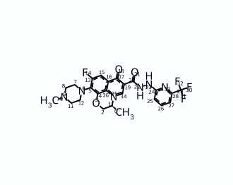 C[C@H]1COc2c(N3CCN(C)CC3)c(F)cc3c(=O)c(C(=O)NNc4cccc(C(F)(F)F)n4)cn1c23